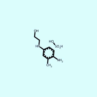 Cc1cc(NCCO)ccc1N.O=S(=O)(O)O